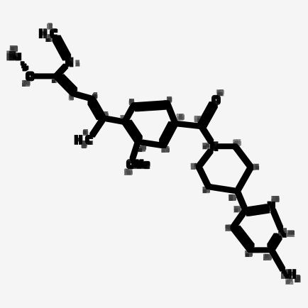 C=N/C(=C\C=C(/C)c1ccc(C(=O)N2CCC(c3ccc(N)nn3)CC2)cc1OC)O[C@@H](C)CC